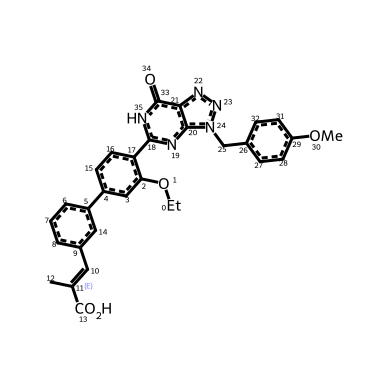 CCOc1cc(-c2cccc(/C=C(\C)C(=O)O)c2)ccc1-c1nc2c(nnn2Cc2ccc(OC)cc2)c(=O)[nH]1